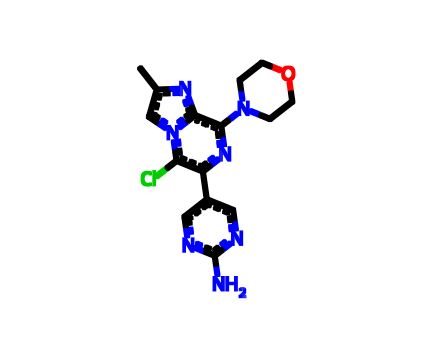 Cc1cn2c(Cl)c(-c3cnc(N)nc3)nc(N3CCOCC3)c2n1